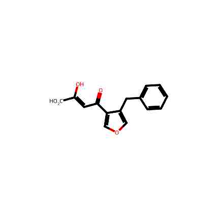 O=C(O)C(O)=CC(=O)c1cocc1Cc1ccccc1